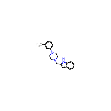 FC(F)(F)c1cccc(N2CCN(Cc3cc4ccccc4[nH]3)CC2)c1